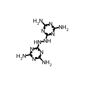 Nc1nc(N)nc(NNc2nc(N)nc(N)n2)n1